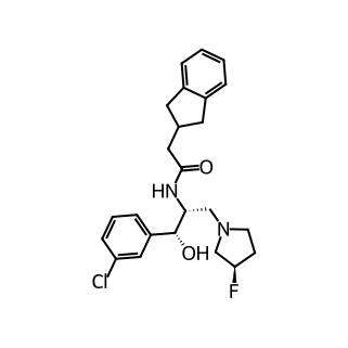 O=C(CC1Cc2ccccc2C1)N[C@H](CN1CC[C@@H](F)C1)[C@H](O)c1cccc(Cl)c1